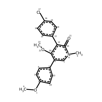 COc1ccc(-c2cn(C)c(=O)c(-c3ccc(Cl)cc3)c2OC)cc1